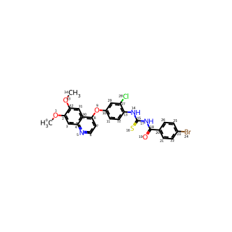 COc1cc2nccc(Oc3ccc(NC(=S)NC(=O)c4ccc(Br)cc4)c(Cl)c3)c2cc1OC